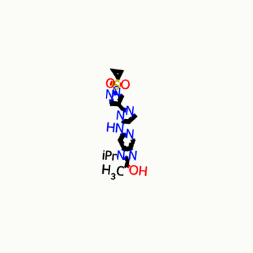 CC(C)n1c([C@H](C)O)nc2cnc(Nc3ccnc(-c4cnn(S(=O)(=O)C5CC5)c4)n3)cc21